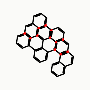 c1ccc(-c2ccccc2-c2c(-c3ccccc3)cccc2N(c2cccc(-c3cccc4ccccc34)c2)c2cccc3ccccc23)cc1